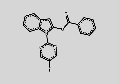 O=C(Oc1cc2ccccc2n1-c1ncc(F)cn1)c1ccccc1